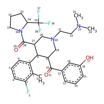 Cc1c(F)cccc1C1C(C(=O)c2cccc(O)c2)CN(CCN(C)C)CC1C(=O)N1CCCC1C(F)(F)F